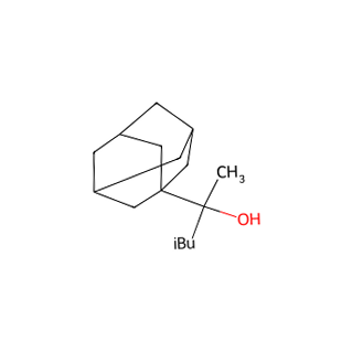 CCC(C)C(C)(O)C12CC3CC(CC(C3)C1)C2